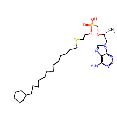 C[C@H](Cn1cnc2c(N)ncnc21)OCP(=O)(O)OCCSCCCCCCCCCCCCCC1CCCCC1